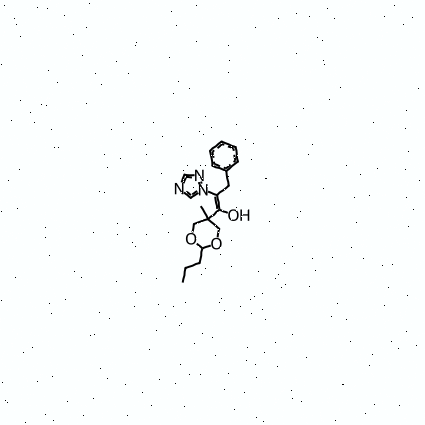 CCCC1OCC(C)(/C(O)=C(/Cc2ccccc2)n2cncn2)CO1